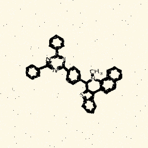 CN1c2c(ccc3ccccc23)-c2c(sc3ccccc23)C1c1ccc(-c2nc(-c3ccccc3)nc(-c3ccccc3)n2)cc1